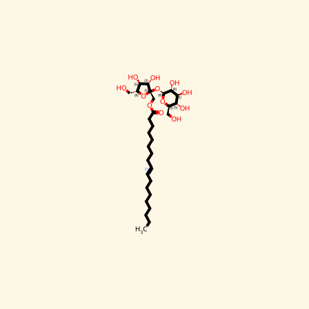 CCCCCCCC/C=C/CCCCCCCC(=O)OC[C@@]1(O[C@H]2O[C@H](CO)[C@@H](O)[C@H](O)[C@H]2O)O[C@H](CO)[C@@H](O)[C@@H]1O